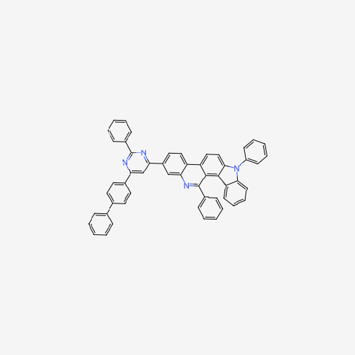 c1ccc(-c2ccc(-c3cc(-c4ccc5c(c4)nc(-c4ccccc4)c4c5ccc5c4c4ccccc4n5-c4ccccc4)nc(-c4ccccc4)n3)cc2)cc1